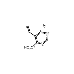 C=Cc1ccccc1C(=O)O.[Ni]